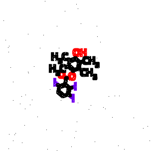 Cc1c(C)c(OC(=O)c2c(I)ccc(I)c2I)c(C)c(C)c1O